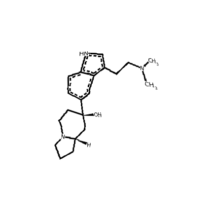 CN(C)CCc1c[nH]c2ccc([C@@]3(O)CCN4CCC[C@H]4C3)cc12